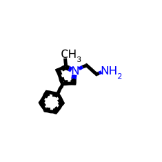 Cc1cc(-c2ccccc2)cn1CCN